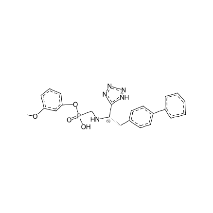 COc1cccc(OP(=O)(O)CN[C@@H](Cc2ccc(-c3ccccc3)cc2)c2nnn[nH]2)c1